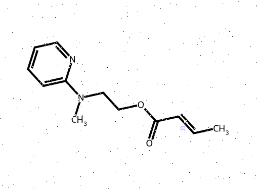 C/C=C/C(=O)OCCN(C)c1ccccn1